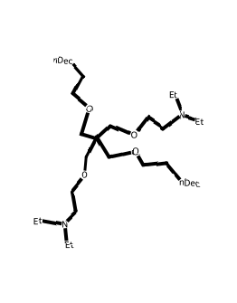 CCCCCCCCCCCCOCC(COCCCCCCCCCCCC)(COCCN(CC)CC)COCCN(CC)CC